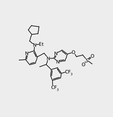 CCN(CC1CCCC1)c1nc(C)ccc1CN(c1ncc(OCCS(C)(=O)=O)cn1)C(C)c1cc(C(F)(F)F)cc(C(F)(F)F)c1